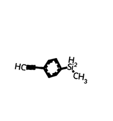 C#Cc1ccc([SiH2]C)cc1